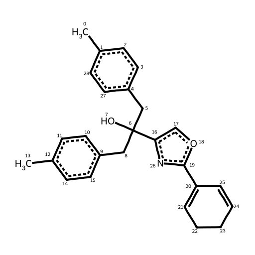 Cc1ccc(CC(O)(Cc2ccc(C)cc2)c2coc(C3=CCCC=C3)n2)cc1